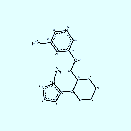 CCCn1nccc1C1CCCCC1COc1cncc(C)c1